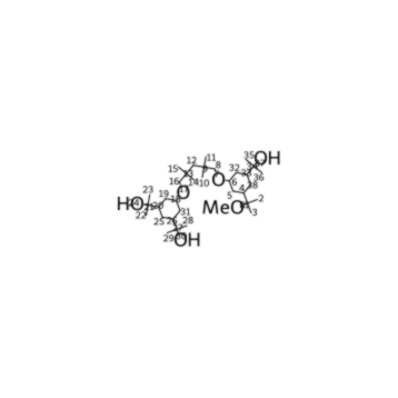 COC(C)(C)C1CC(OCC(C)(C)CC(C)(C)COC2CC(C(C)(C)O)CC(C(C)(C)O)C2)CC(C(C)(C)O)C1